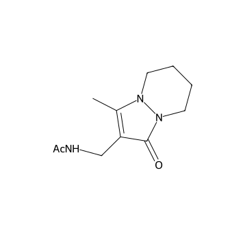 CC(=O)NCc1c(C)n2n(c1=O)CCCC2